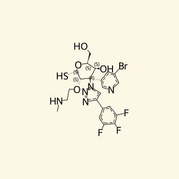 CNCCO[C@@H]1[C@H](S)O[C@@H](CO)[C@@H](O)[C@@]1(c1cncc(Br)c1)n1cc(-c2cc(F)c(F)c(F)c2)nn1